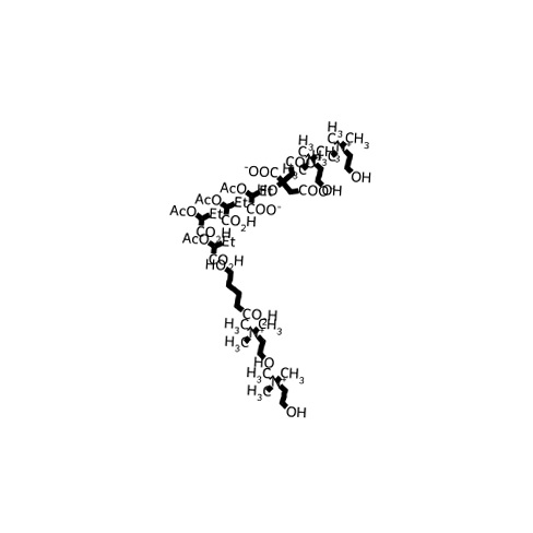 CCC(OC(C)=O)C(=O)O.CCC(OC(C)=O)C(=O)O.CCC(OC(C)=O)C(=O)O.CCC(OC(C)=O)C(=O)[O-].C[N+](C)(C)CCO.C[N+](C)(C)CCO.C[N+](C)(C)CCO.C[N+](C)(C)CCO.O=C(O)CCCCO.O=C([O-])CC(O)(CC(=O)[O-])C(=O)[O-]